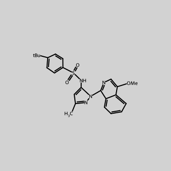 COc1cnc(-n2nc(C)cc2NS(=O)(=O)c2ccc(C(C)(C)C)cc2)c2ccccc12